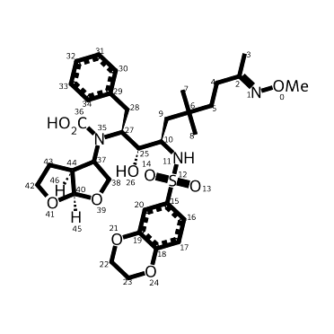 CON=C(C)CCC(C)(C)C[C@@H](NS(=O)(=O)c1ccc2c(c1)OCCO2)[C@H](O)[C@H](Cc1ccccc1)N(C(=O)O)C1CO[C@H]2OCC[C@@H]12